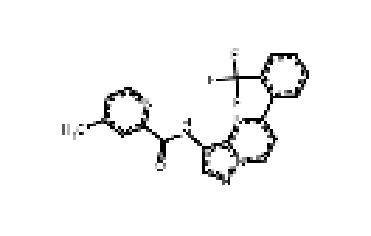 Cc1ccnc(C(=O)Nc2cnn3ccc(-c4ccccc4C(F)(F)F)nc23)c1